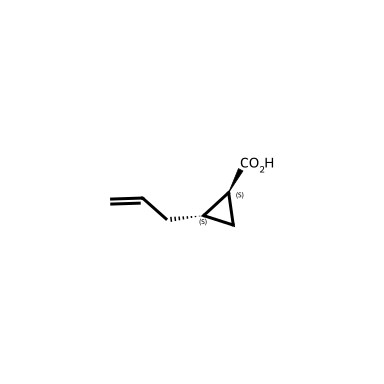 C=CC[C@H]1C[C@@H]1C(=O)O